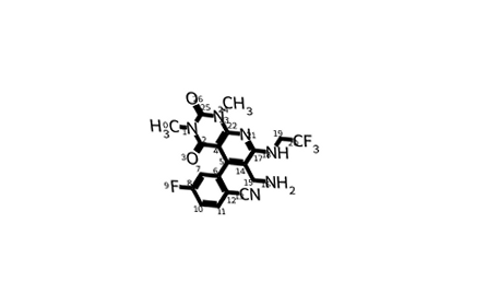 Cn1c(=O)c2c(-c3cc(F)ccc3C#N)c(CN)c(NCC(F)(F)F)nc2n(C)c1=O